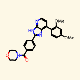 COc1ccc(-c2ccnc3[nH]c(-c4ccc(C(=O)N5CCOCC5)cc4)nc23)c(OC)c1